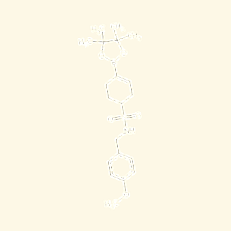 COc1ccc(CNS(=O)(=O)C2CC=C(B3OC(C)(C)C(C)(C)O3)CC2)cc1